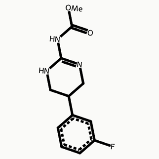 COC(=O)NC1=NCC(c2cccc(F)c2)CN1